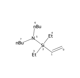 C=C[Si](CC)(CC)N(CCCC)CCCC